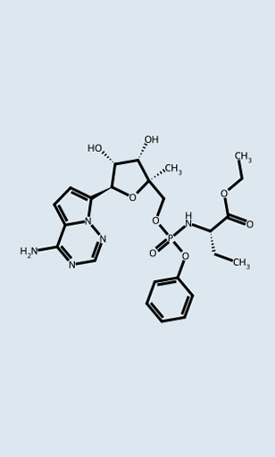 CCOC(=O)[C@H](CC)NP(=O)(OC[C@@]1(C)O[C@@H](c2ccc3c(N)ncnn23)[C@H](O)[C@@H]1O)Oc1ccccc1